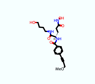 COCC#Cc1ccc(C(=O)N[C@@H](CCC(=O)NO)C(=O)NCCCCO)cc1